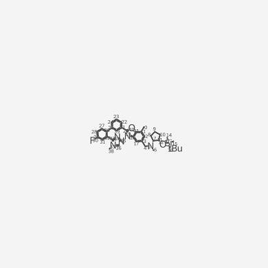 Cc1cc(CN(C)[C@@H]2CCCC2O[Si](C)(C)C(C)(C)C)cc2nc(-c3cccc(-c4ccc(F)cc4-c4nncn4C)c3)oc12